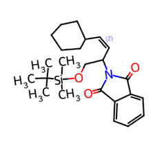 CC(C)(C)[Si](C)(C)OCC(/C=C\C1CCCCC1)N1C(=O)c2ccccc2C1=O